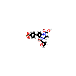 COCC(=O)N1c2ccc(-c3ccc(S(C)(=O)=O)cc3)cc2N(C(=O)c2ccco2)CC1C